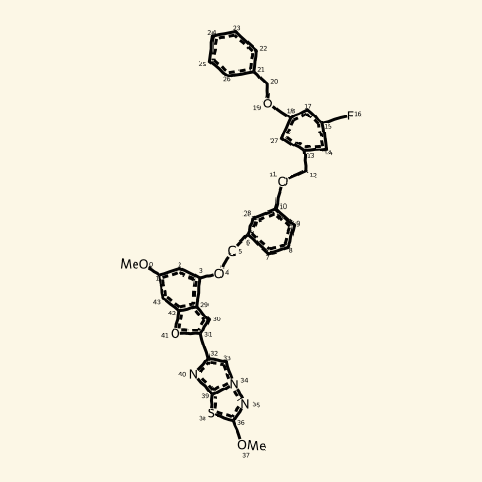 COc1cc(OCc2cccc(OCc3cc(F)cc(OCc4ccccc4)c3)c2)c2cc(-c3cn4nc(OC)sc4n3)oc2c1